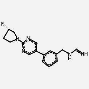 N=[C]NCc1cccc(-c2cnc(N3CC[C@H](F)C3)nc2)c1